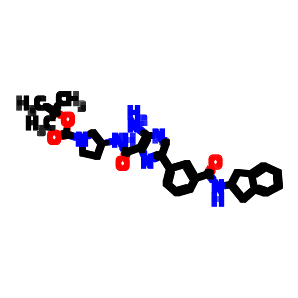 CC(C)(C)OC(=O)N1CC[C@H](NC(=O)c2nc(-c3cccc(C(=O)NC4Cc5ccccc5C4)c3)cnc2N)C1